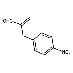 C=C([C]=O)Cc1ccc([N+](=O)[O-])cc1